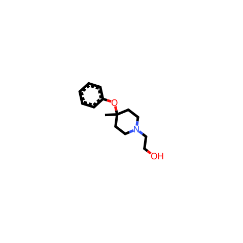 CC1(Oc2ccccc2)CCN(CCO)CC1